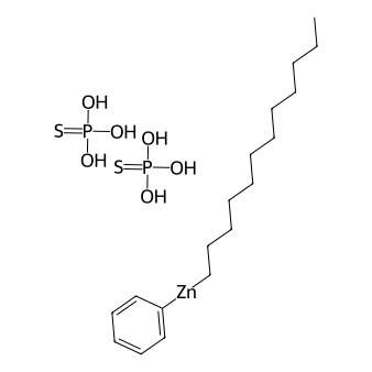 CCCCCCCCCCC[CH2][Zn][c]1ccccc1.OP(O)(O)=S.OP(O)(O)=S